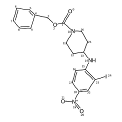 O=C(OCc1ccccc1)N1CCC(Nc2ccc([N+](=O)[O-])cc2I)CC1